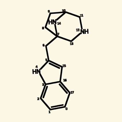 c1ccc2[nH]c(CC34CCC(CNC3)N4)cc2c1